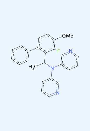 COc1ccc(-c2ccccc2)c(C(C)N(c2cccnc2)c2cccnc2)c1F